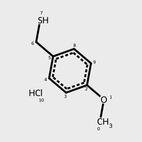 COc1ccc(CS)cc1.Cl